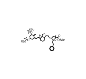 C=C1/C(=C\C=C2/CCC[C@]3(C)[C@@H]([C@H](C)CC4CC(C)(C(=O)OC)ON4CCc4ccccc4)CC[C@@H]23)C[C@@H](O[Si](C)(C)C(C)(C)C)C[C@@H]1O[Si](C)(C)C(C)(C)C